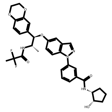 C[C@H](NC(=O)C(C)(F)F)[C@H](Oc1ccc2c(cnn2-c2cccc(C(=O)N[C@@H]3CCC[C@@H]3O)c2)c1)c1ccc2c(c1)OCCO2